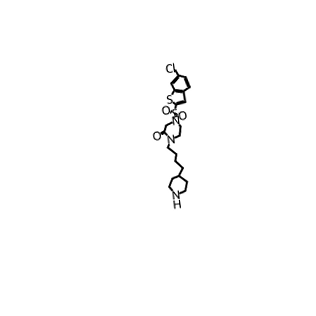 O=C1CN(S(=O)(=O)c2cc3ccc(Cl)cc3s2)CCN1CCCCC1CCNCC1